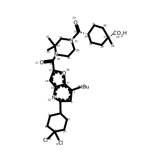 CC(C)(C)c1cc(C2CCC(Cl)(Cl)CC2)nc2cc(C(=O)N3CCN(C(=O)[C@H]4CC[C@@](C)(C(=O)O)CC4)CC3(C)C)oc12